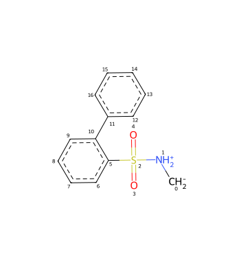 [CH2-][NH2+]S(=O)(=O)c1ccccc1-c1ccccc1